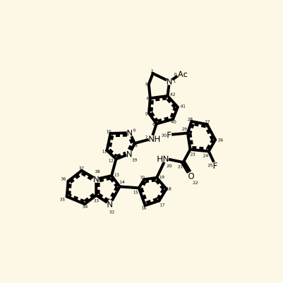 CC(=O)N1CCc2cc(Nc3nccc(-c4c(-c5cccc(NC(=O)c6c(F)cccc6F)c5)nc5ccccn45)n3)ccc21